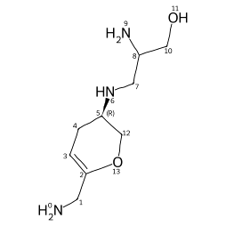 NCC1=CC[C@@H](NCC(N)CO)CO1